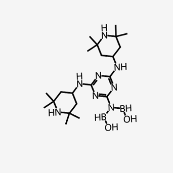 CC1(C)CC(Nc2nc(NC3CC(C)(C)NC(C)(C)C3)nc(N(BO)BO)n2)CC(C)(C)N1